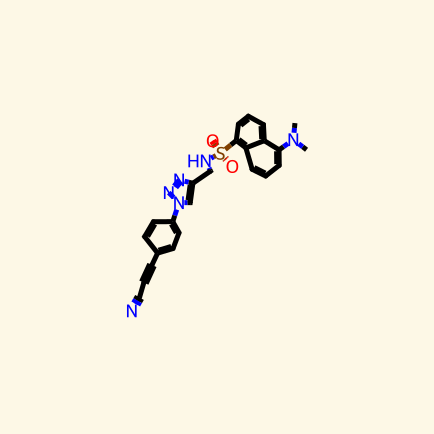 CN(C)c1cccc2c(S(=O)(=O)NCc3cn(-c4ccc(C#CC#N)cc4)nn3)cccc12